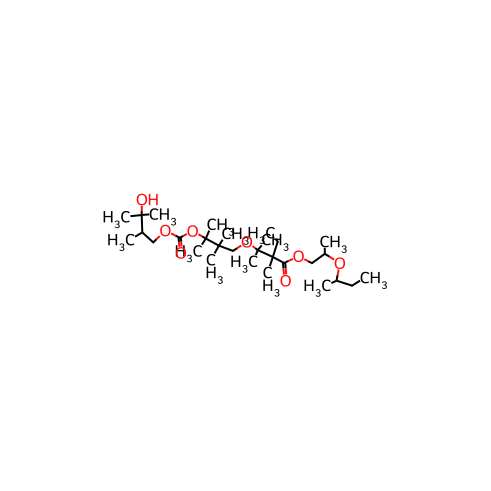 CCC(C)OC(C)COC(=O)C(C)(CC)C(C)(C)OCC(C)(C)C(C)(C)OC(=O)OCC(C)C(C)(C)O